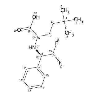 CC(C)(C)CC[C@H](N[C@H](c1ccccc1)C(F)F)C(=O)O